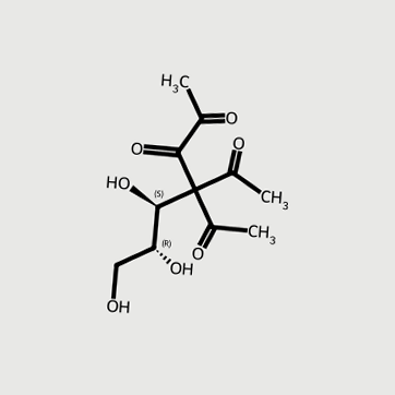 CC(=O)C(=O)C(C(C)=O)(C(C)=O)[C@H](O)[C@H](O)CO